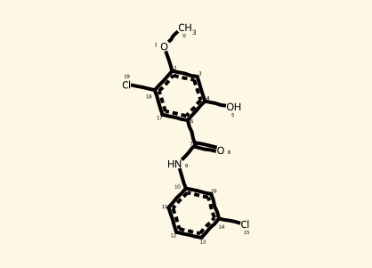 COc1cc(O)c(C(=O)Nc2cccc(Cl)c2)cc1Cl